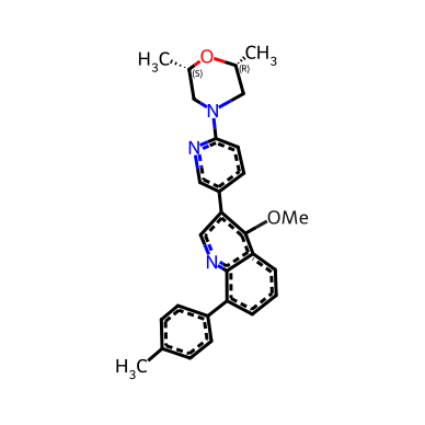 COc1c(-c2ccc(N3C[C@@H](C)O[C@@H](C)C3)nc2)cnc2c(-c3ccc(C)cc3)cccc12